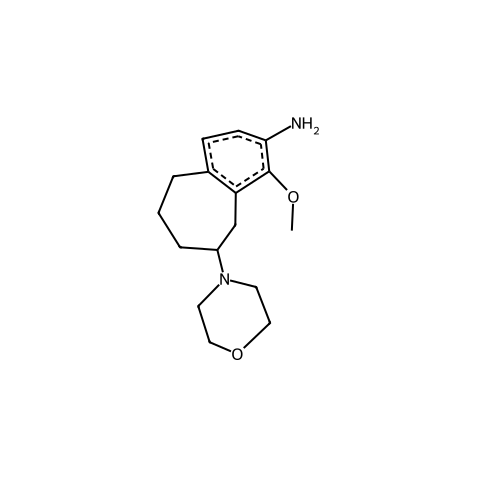 COc1c(N)ccc2c1CC(N1CCOCC1)CCC2